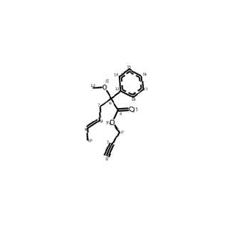 C#CCOC(=O)C(CC=CC)(OC)c1ccccc1